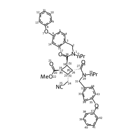 CCCN(Cc1ccc(Oc2ccccc2)cc1)C(=O)[C@@H]1[C@H](C(=O)OC)[C@@H](CC#N)[C@H]1C(=O)N(CCC)Cc1ccc(Oc2ccccc2)cc1